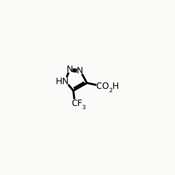 O=C(O)c1nn[nH]c1C(F)(F)F